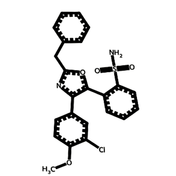 COc1ccc(-c2nc(Cc3ccccc3)oc2-c2ccccc2S(N)(=O)=O)cc1Cl